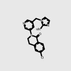 CCCc1nccn1Cc1cncc(N2CCc3cc(Cl)ccc3C2=O)c1